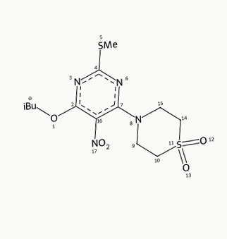 CCC(C)Oc1nc(SC)nc(N2CCS(=O)(=O)CC2)c1[N+](=O)[O-]